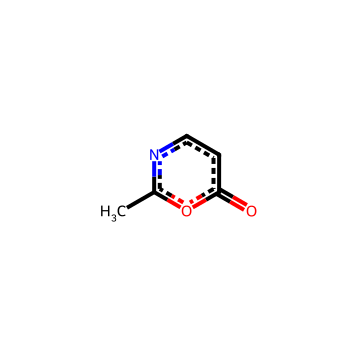 Cc1nccc(=O)o1